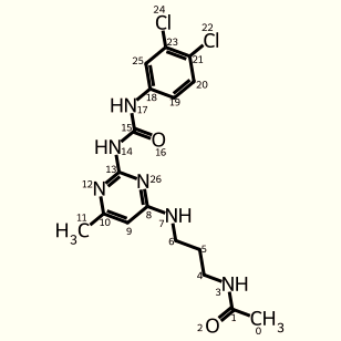 CC(=O)NCCCNc1cc(C)nc(NC(=O)Nc2ccc(Cl)c(Cl)c2)n1